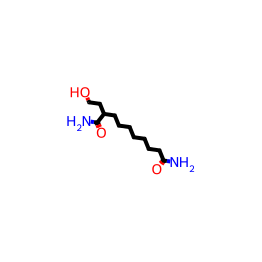 NC(=O)CCCCCCCC(CCO)C(N)=O